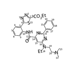 CCOC(=O)c1nnc(-c2ccccc2NC(=O)c2cc(N(CC)CCN(C)C)nc(-c3ccccc3)n2)s1